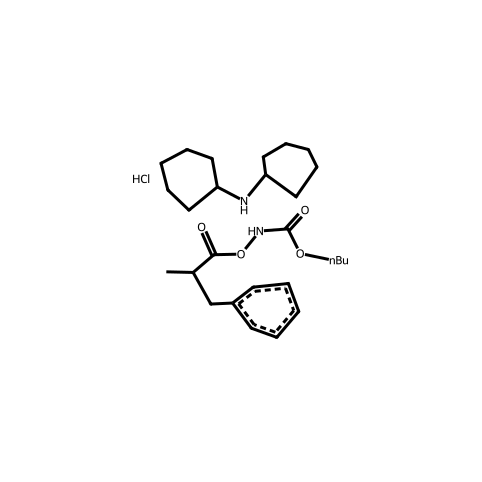 C1CCC(NC2CCCCC2)CC1.CCCCOC(=O)NOC(=O)C(C)Cc1ccccc1.Cl